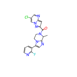 CC1c2ncc(-c3cccnc3F)n2CCN1C(=O)c1cc2ncc(Cl)cn2n1